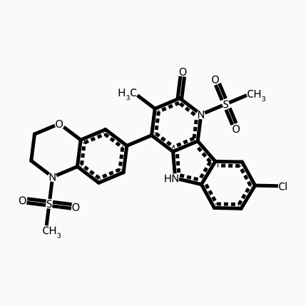 Cc1c(-c2ccc3c(c2)OCCN3S(C)(=O)=O)c2[nH]c3ccc(Cl)cc3c2n(S(C)(=O)=O)c1=O